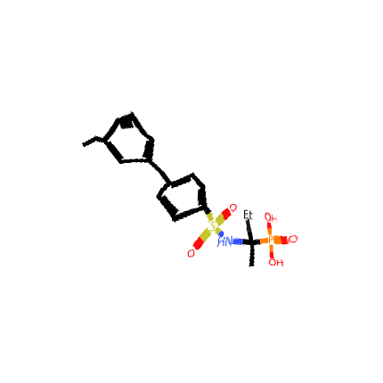 CCC(C)(NS(=O)(=O)c1ccc(-c2cccc(C)c2)cc1)P(=O)(O)O